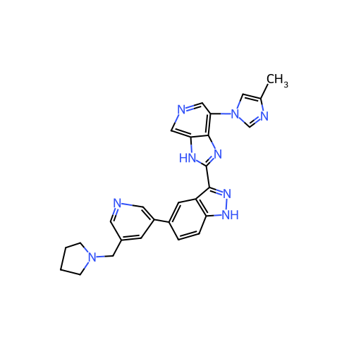 Cc1cn(-c2cncc3[nH]c(-c4n[nH]c5ccc(-c6cncc(CN7CCCC7)c6)cc45)nc23)cn1